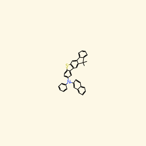 CC1(C)c2ccccc2-c2cc3sc4ccc(N(c5ccccc5)c5ccc6ccccc6c5)cc4c3cc21